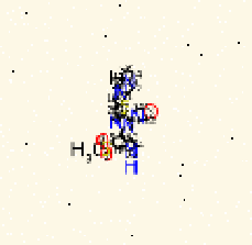 CS(=O)(=O)c1cc(-c2nc(N3CCOCC3)c3sc(CN4CCN5CCC[C@H]5C4)cc3n2)c2cc[nH]c2c1